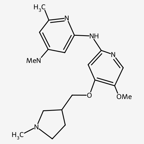 CNc1cc(C)nc(Nc2cc(OCC3CCN(C)C3)c(OC)cn2)c1